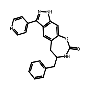 O=C1NC(Cc2ccccc2)Cc2cc3c(-c4ccncc4)n[nH]c3cc2O1